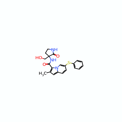 Cc1cc2ccc(Sc3ccccc3)cn2c1C(=O)NC1(CO)CCNC1=O